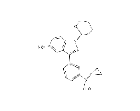 N#Cc1ccc2c(c1)c(-c1cccc(N(C=O)C3CC3)c1)nn2C1CCCCO1